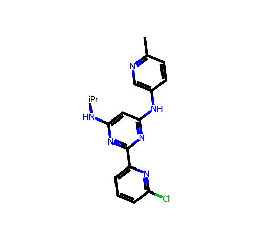 Cc1ccc(Nc2cc(NC(C)C)nc(-c3cccc(Cl)n3)n2)cn1